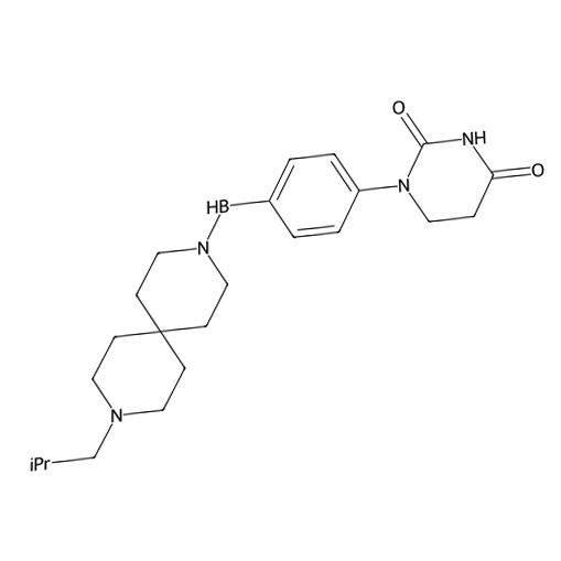 CC(C)CN1CCC2(CCN(Bc3ccc(N4CCC(=O)NC4=O)cc3)CC2)CC1